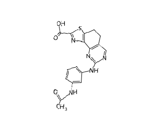 CC(=O)Nc1cccc(Nc2ncc3c(n2)-c2nc(C(=O)O)sc2CC3)c1